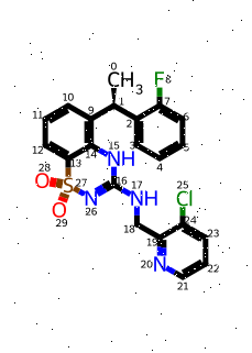 C[C@@H](c1ccccc1F)c1cccc2c1NC(NCc1ncccc1Cl)=NS2(=O)=O